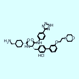 Cl.NC[C@H]1CC[C@H](C(=O)N[C@@H](Cc2ccc(-c3cccc(OCCN4CCOCC4)c3)cc2)C(=O)Nc2ccc(-c3nn[nH]n3)cc2)CC1